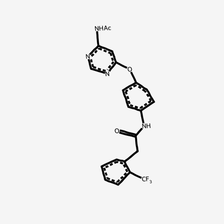 CC(=O)Nc1cc(Oc2ccc(NC(=O)Cc3ccccc3C(F)(F)F)cc2)ncn1